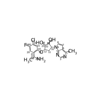 Cc1ncnc2c1ccn2C1CC(Oc2cc(Cl)c(F)cc2C(C)N)[C@@H](O)[C@H]1O